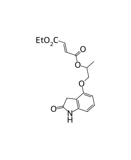 CCOC(=O)/C=C/C(=O)OC(C)COc1cccc2c1CC(=O)N2